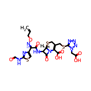 C=CCO/N=C(\C(=O)NC1C(=O)N2C(C(=O)O)=C(CSc3nnnn3CC(=O)O)CS[C@H]12)c1csc(NC=O)n1